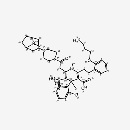 CN1C(CCc2ccccc2OCCCN)=C(C(=O)O)C(C)(c2c(Cl)cccc2Cl)C(C(=O)O)=C1CC(=O)N1CCN(C2CC3CCC(C2)N3C)CC1